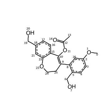 COc1ccc(CO)c(C2=C(OC(C)=O)c3ccc(CO)cc3OCC2)c1